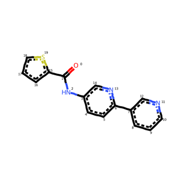 O=C(Nc1ccc(-c2cccnc2)nc1)c1cccs1